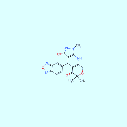 Cn1[nH]c(=O)c2c1NC1=C(C(=O)C(C)(C)OC1)C2c1ccc2nonc2c1